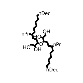 CCCCCCCCCCCCCCCCC(=CCC(OC(CC=C(CCC)CCCCCCCCCCCCCCCC)C(O)CO)C(O)CO)CCC